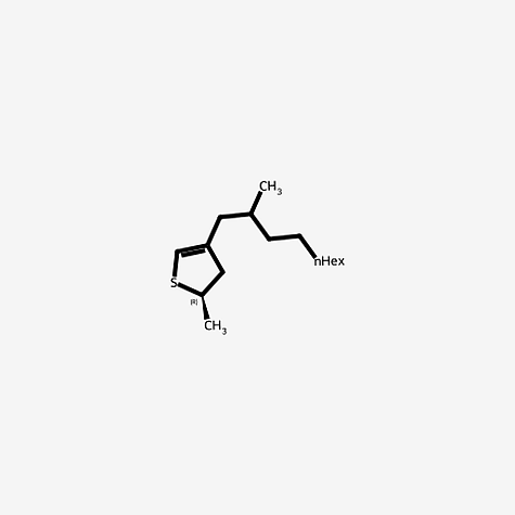 CCCCCCCCC(C)CC1=CS[C@H](C)C1